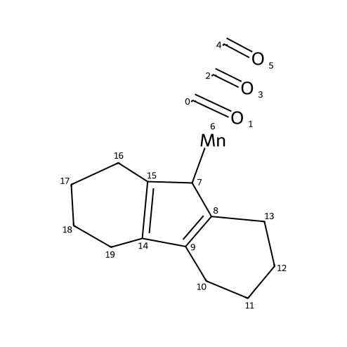 [C]=O.[C]=O.[C]=O.[Mn][CH]1C2=C(CCCC2)C2=C1CCCC2